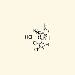 Cc1[nH]c(C(=O)N[C@@H]2CCNC[C@@H]2N=[N+]=[N-])c(Cl)c1Cl.Cl